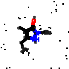 Cc1c(CC(C)C)[nH]n(C(C)(C)C)c1=O